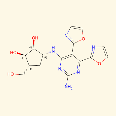 Nc1nc(N[C@@H]2C[C@H](CO)[C@@H](O)[C@H]2O)c(-c2ncco2)c(-c2ncco2)n1